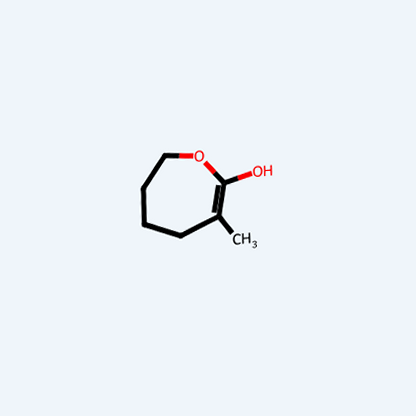 CC1=C(O)OCCCC1